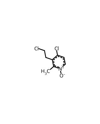 Cc1c(CCCl)c(Cl)cc[n+]1[O-]